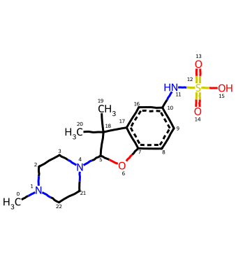 CN1CCN(C2Oc3ccc(NS(=O)(=O)O)cc3C2(C)C)CC1